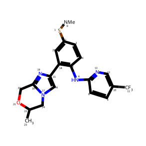 CNSc1ccc(Nc2ccc(C(F)(F)F)cn2)c(-c2cn3c(n2)COC(C)C3)c1